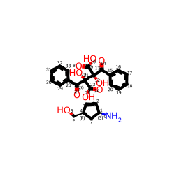 N[C@@H]1C=C[C@H](CO)C1.O=C(O)C(O)(C(=O)c1ccccc1)C(O)(C(=O)O)C(=O)c1ccccc1